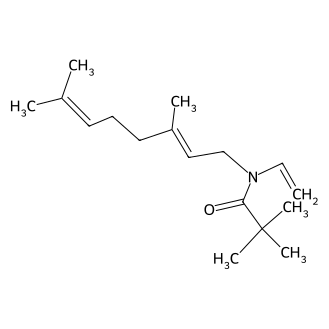 C=CN(C/C=C(\C)CCC=C(C)C)C(=O)C(C)(C)C